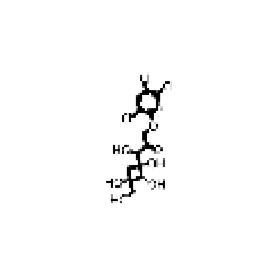 O=C(COc1nc(Cl)c(Cl)cc1Cl)C(O)[C@@]1(O)C[C@@](O)(CO)[C@H]1O